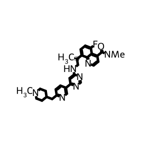 CNC(=O)c1ccnc2c([C@H](C)CNc3cc(-c4ccc(CC5CCN(C)CC5)nc4)ncn3)ccc(F)c12